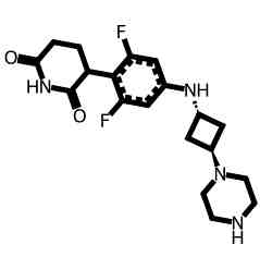 O=C1CCC(c2c(F)cc(N[C@H]3C[C@H](N4CCNCC4)C3)cc2F)C(=O)N1